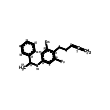 C=C=CCCc1c(F)cc(SC(C)c2ccccc2)cc1F